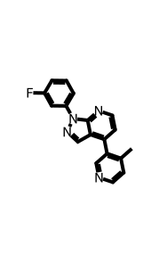 Cc1ccncc1-c1ccnc2c1cnn2-c1cccc(F)c1